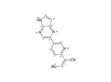 CC(C)(C)/C=C(/C#N)c1ccc(-c2cnc3[nH]ccc3n2)cn1